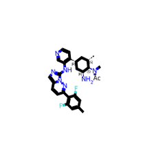 CC(=O)N(C)[C@@H]1[C@H](N)C[C@H](c2ccncc2Nc2ncc3ccc(-c4c(F)cc(C)cc4F)nn23)C[C@@H]1C